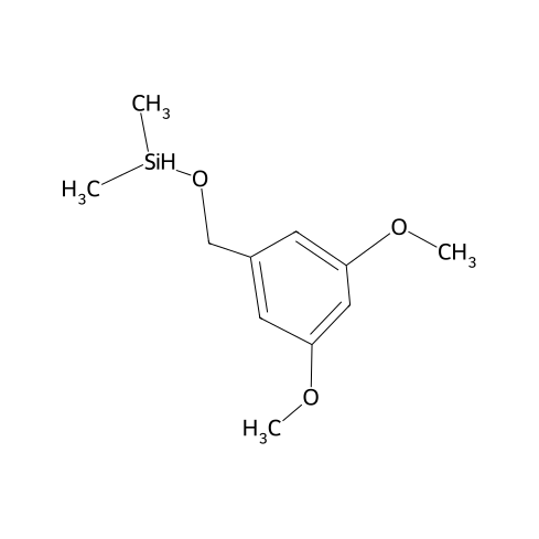 COc1cc(CO[SiH](C)C)cc(OC)c1